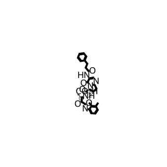 Cc1cccc2nc(C(=O)[C@H](CC(=O)O)NC(=O)[C@@H]3CCc4ncc(NC(=O)CCc5ccccc5)c(=O)n43)oc12